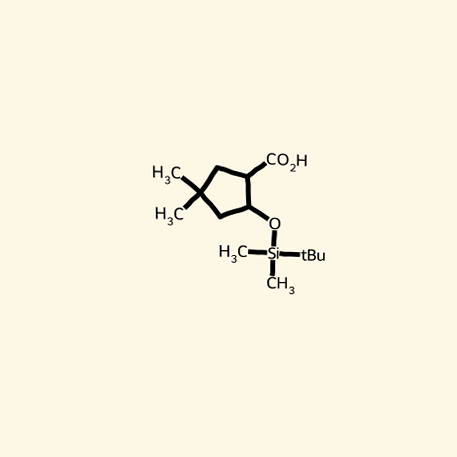 CC1(C)CC(O[Si](C)(C)C(C)(C)C)C(C(=O)O)C1